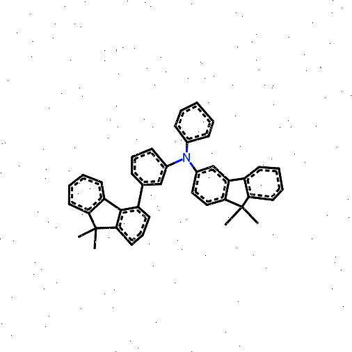 CC1(C)c2ccccc2-c2cc(N(c3ccccc3)c3cccc(-c4cccc5c4-c4ccccc4C5(C)C)c3)ccc21